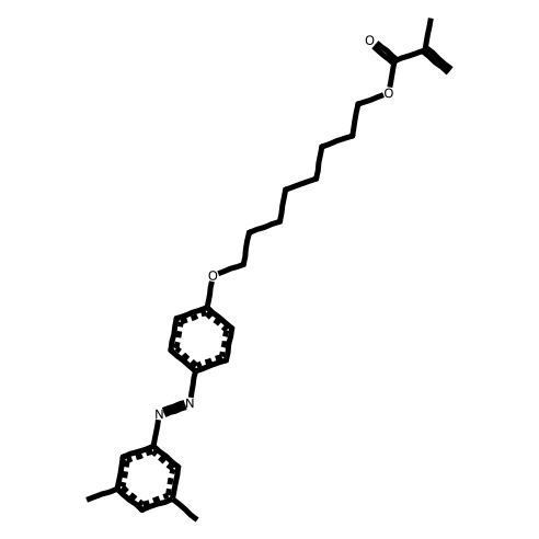 C=C(C)C(=O)OCCCCCCCCOc1ccc(/N=N/c2cc(C)cc(C)c2)cc1